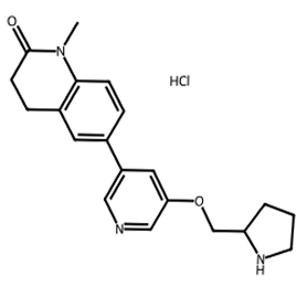 CN1C(=O)CCc2cc(-c3cncc(OCC4CCCN4)c3)ccc21.Cl